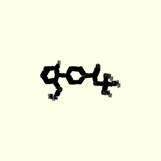 COc1cccc(F)c1C1=CCN(C(=O)OC(C)(C)C)CC1